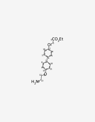 CCOC(=O)COc1ccc(-c2ccc(OCCN)cc2)cc1